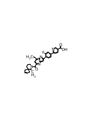 CCc1cc(C(=O)N2CCCC3(CC=CC3)C2C)nc2cc(-c3ccc(-c4ccc(C(=O)O)cn4)cc3F)nn12